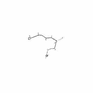 C[C@H](CCO)CCCCl